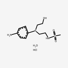 CS(=O)(=O)NCCN(CCO)c1ccc(N)cc1.Cl.O